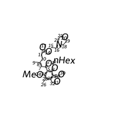 CCCCCCC(=O)Oc1c(CC=C(C)CCC(=O)OCCN2CCOCC2)c(OC)c(C)c2c1C(=O)OC2